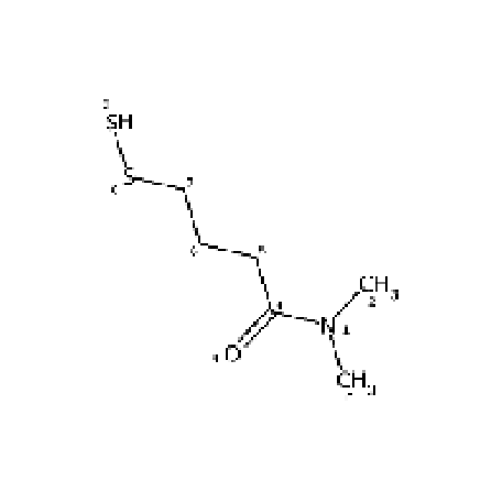 CN(C)C(=O)CCCSS